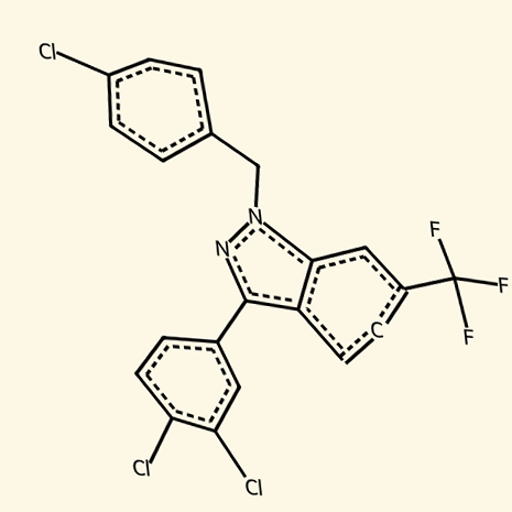 FC(F)(F)c1ccc2c(-c3ccc(Cl)c(Cl)c3)nn(Cc3ccc(Cl)cc3)c2c1